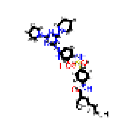 CCCCCC(CC)C(=O)Nc1ccc(S(=O)(=O)Nc2ccc(Nc3nc(N4CCCCC4)nc(N4CCCCC4)n3)cc2O)cc1